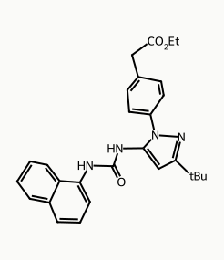 CCOC(=O)Cc1ccc(-n2nc(C(C)(C)C)cc2NC(=O)Nc2cccc3ccccc23)cc1